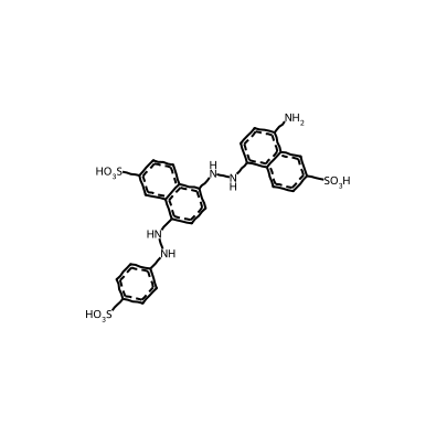 Nc1ccc(NNc2ccc(NNc3ccc(S(=O)(=O)O)cc3)c3cc(S(=O)(=O)O)ccc23)c2ccc(S(=O)(=O)O)cc12